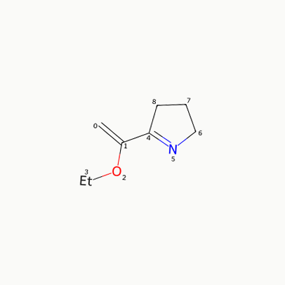 C=C(OCC)C1=NCCC1